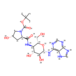 CC(C)(C)OC(=O)N1C[C@@H](O)C[C@@H]1C(=O)N[C@@H]1[C@@H](O)[C@H](O)[C@@H](Nc2ncnc3nc[nH]c23)O[C@H]1CO